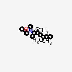 CC1(C)c2cc3c(cc2-c2cc4ccccc4cc21)C(C)(C)c1cc(N(c2ccccc2)c2cccc4c2oc2ccccc24)c2ccccc2c1-3